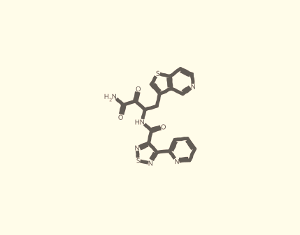 NC(=O)C(=O)C(Cc1csc2ccncc12)NC(=O)c1nsnc1-c1ccccn1